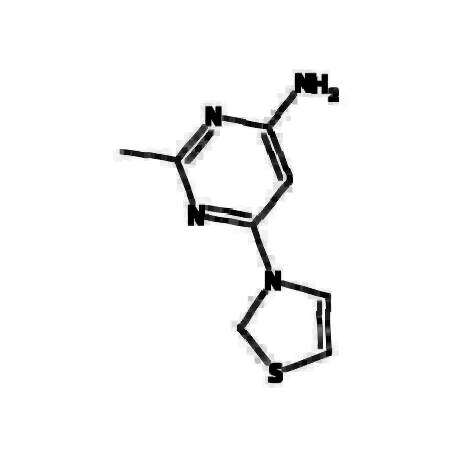 Cc1nc(N)cc(N2C=CSC2)n1